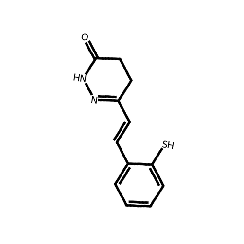 O=C1CCC(C=Cc2ccccc2S)=NN1